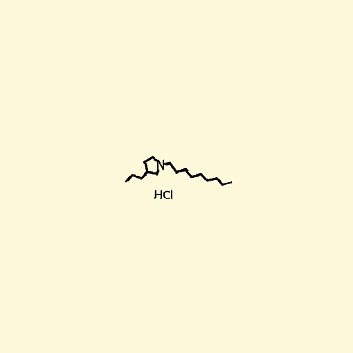 CCCCCCCCCN1CCC(CCC)C1.Cl